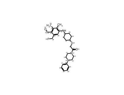 Cc1c(NC2CCC(OCC(=O)N3CCN(c4ccccc4)CC3)CC2)cc(CF)c(N=O)c1C